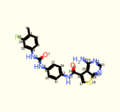 Cc1ccc(NC(=O)Nc2ccc(NC(=O)c3csc4ncnc(N)c34)cc2)cc1F